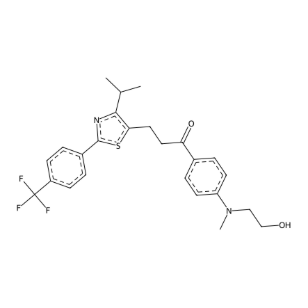 CC(C)c1nc(-c2ccc(C(F)(F)F)cc2)sc1CCC(=O)c1ccc(N(C)CCO)cc1